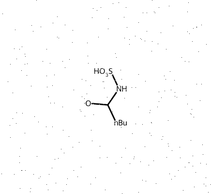 CCCCC([O])NS(=O)(=O)O